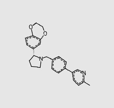 Cc1ccc(-c2ccc(CN3CCC[C@@H]3c3ccc4c(c3)OCCO4)cc2)cn1